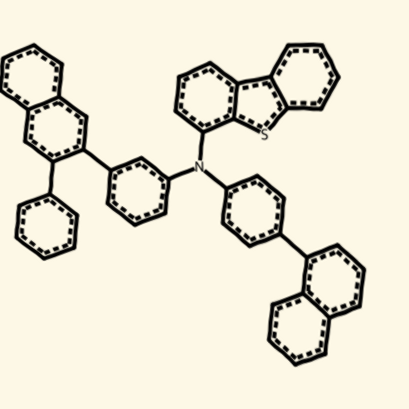 c1ccc(-c2cc3ccccc3cc2-c2cccc(N(c3ccc(-c4cccc5ccccc45)cc3)c3cccc4c3sc3ccccc34)c2)cc1